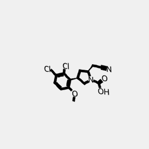 COc1ccc(Cl)c(Cl)c1[C@H]1C[C@@H](CC#N)N(C(=O)O)C1